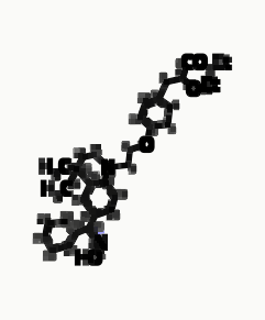 CCOC(=O)C(Cc1ccc(OCCN2CCC(C)(C)c3cc(/C(=N/O)c4ccccc4)ccc32)cc1)OCC